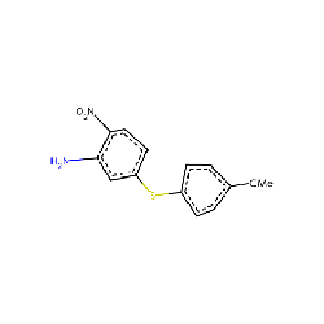 COc1ccc(Sc2ccc([N+](=O)[O-])c(N)c2)cc1